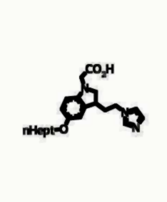 CCCCCCCOc1ccc2c(c1)C(CCn1ccnc1)CN2CC(=O)O